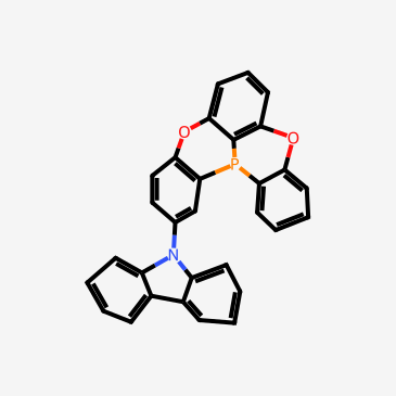 c1ccc2c(c1)Oc1cccc3c1P2c1cc(-n2c4ccccc4c4ccccc42)ccc1O3